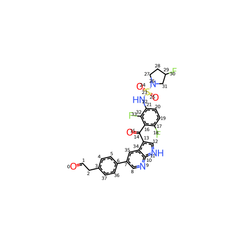 O=CCc1ccc(-c2cnc3[nH]cc(C(=O)c4c(F)ccc(NS(=O)(=O)N5CCC(F)C5)c4F)c3c2)cc1